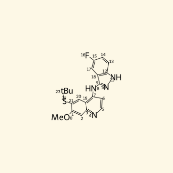 COc1cc2nccc(Nc3n[nH]c4ccc(F)cc34)c2cc1SC(C)(C)C